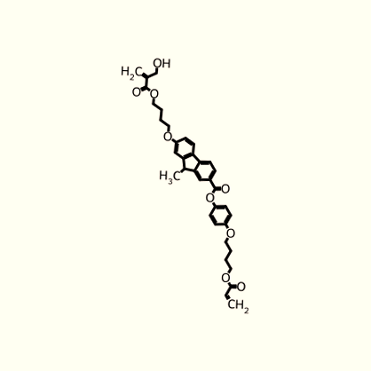 C=CC(=O)OCCCCOc1ccc(OC(=O)c2ccc3c(c2)C(C)c2cc(OCCCCOC(=O)C(=C)CO)ccc2-3)cc1